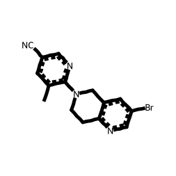 Cc1cc(C#N)cnc1N1CCc2ncc(Br)cc2C1